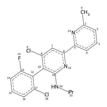 Cc1cccc(-c2cc(Cl)c(-c3c(F)cccc3Cl)c(NC(C)C)n2)n1